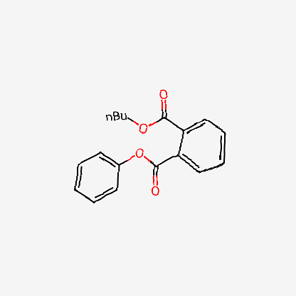 CCCCOC(=O)c1ccccc1C(=O)Oc1ccccc1